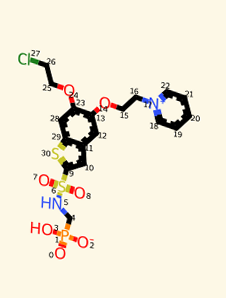 O=P([O-])(O)CNS(=O)(=O)c1cc2cc(OCC[n+]3ccccc3)c(OCCCl)cc2s1